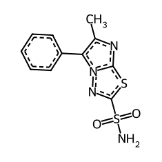 Cc1nc2sc(S(N)(=O)=O)nn2c1-c1ccccc1